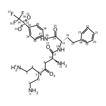 NCCN(CCN)C(=O)C[C@H](N)C(=O)N[C@@H](CCc1ccccc1)C(=O)Nc1ccc(S(=O)(=O)C(F)(F)F)cc1